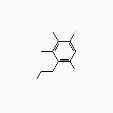 Cc1c(N)cc(O)c(CCO)c1C